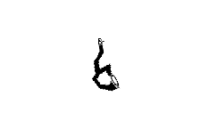 BrCCC1[C]OCCC1